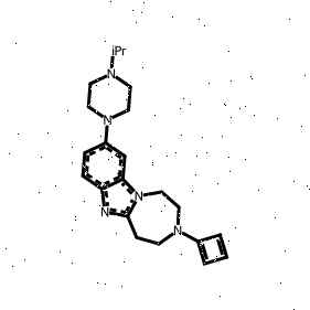 CC(C)N1CCN(c2ccc3nc4n(c3c2)CCN(C2=CC=C2)CC4)CC1